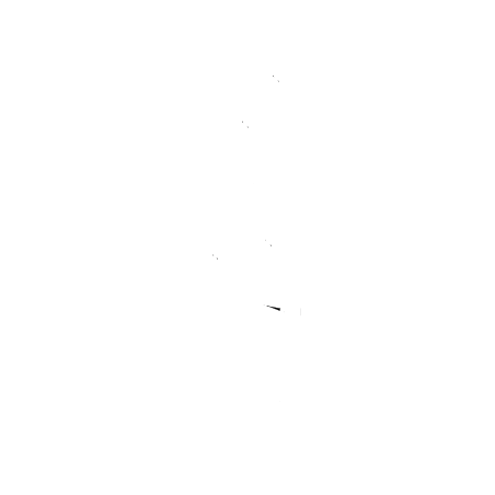 O[C@@H](Cc1ccccc1)c1nc2cc(-n3ccnc3)ccc2[nH]1